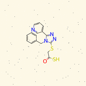 O=C(S)CSc1nnc(-c2cccnc2)n1Cc1ccccc1